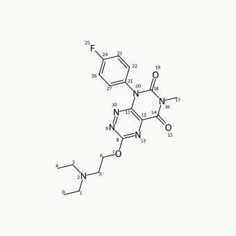 CCN(CC)CCOc1nnc2c(n1)c(=O)n(C)c(=O)n2-c1ccc(F)cc1